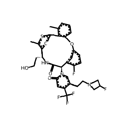 Cc1cccc2c1-c1cc(c(C)s1)[C@@H](CCO)NC(=O)[C@H](n1cc(CCN3CC(F)C3)c(C(F)(F)F)cc1=O)c1cc(ccc1F)O2